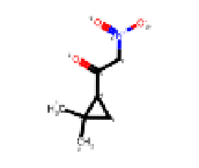 CC1(C)CC1C(=O)C[N+](=O)[O-]